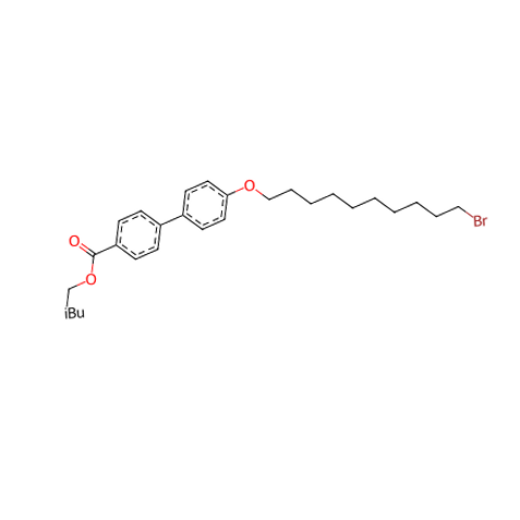 CCC(C)COC(=O)c1ccc(-c2ccc(OCCCCCCCCCCBr)cc2)cc1